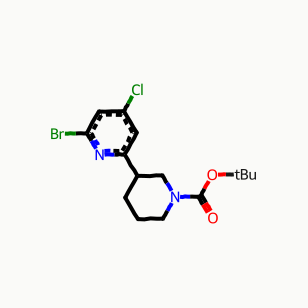 CC(C)(C)OC(=O)N1CCCC(c2cc(Cl)cc(Br)n2)C1